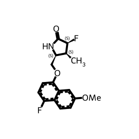 COc1ccc2c(F)ccc(OC[C@H]3NC(=O)[C@@H](F)[C@H]3C)c2c1